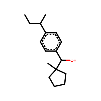 CCC(C)c1ccc(C(O)C2(C)CCCC2)cc1